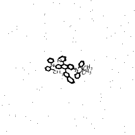 CCc1ccccc1N(c1ccccc1)c1ccc2c(-c3ccc4ccccc4c3)c3cc(N4c5ccccc5C(C)(C)c5ccccc54)ccc3c(-c3ccccn3)c2c1